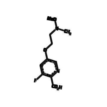 CON(C)CCOc1cnc(C(=O)O)c(F)c1